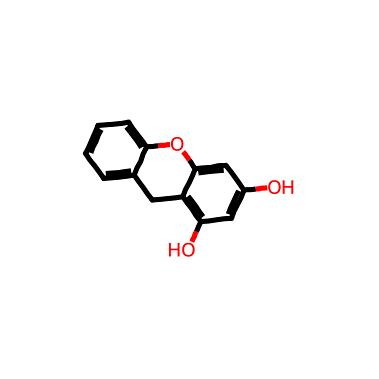 Oc1cc(O)c2c(c1)Oc1ccccc1C2